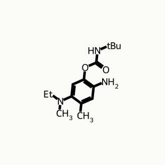 CCN(C)c1cc(OC(=O)NC(C)(C)C)c(N)cc1C